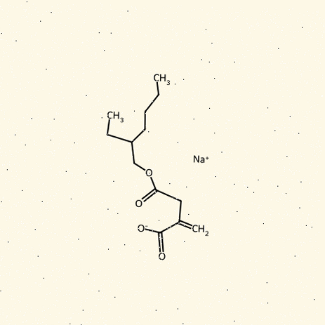 C=C(CC(=O)OCC(CC)CCCC)C(=O)[O-].[Na+]